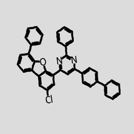 Clc1cc(-c2cc(-c3ccc(-c4ccccc4)cc3)nc(-c3ccccc3)n2)c2oc3c(-c4ccccc4)cccc3c2c1